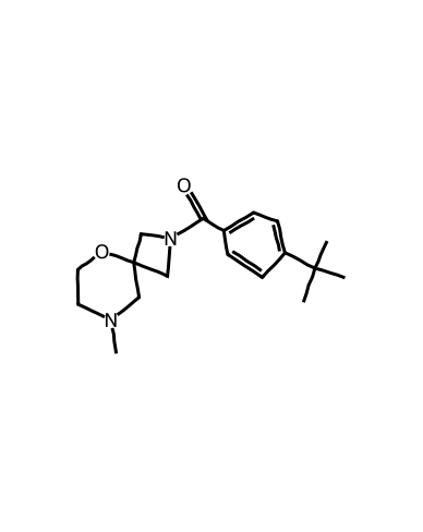 CN1CCOC2(C1)CN(C(=O)c1ccc(C(C)(C)C)cc1)C2